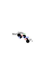 COc1cc2nccc(Oc3ncc(NC(=O)Cc4ccccc4C(F)(F)F)cc3Cl)c2cc1OC